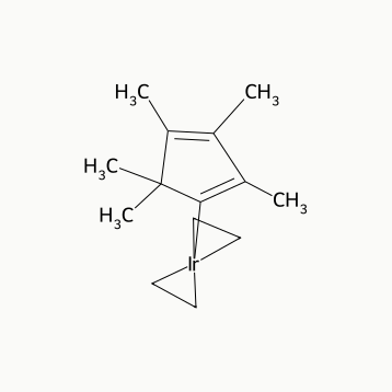 CC1=C(C)C(C)(C)[C]([Ir]23([CH2][CH2]2)[CH2][CH2]3)=C1C